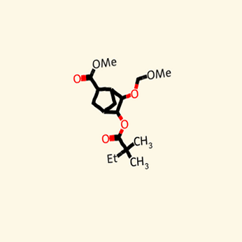 CCC(C)(C)C(=O)OC1C2CC(C(=O)OC)C(C2)C1OCOC